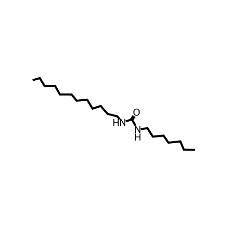 CCCCCCCCCCCCNC(=O)NCCCCCCC